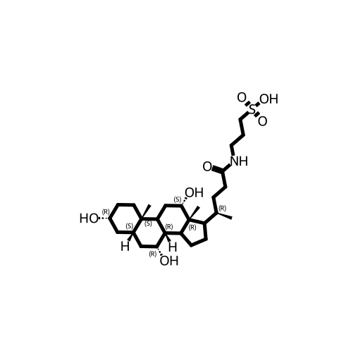 C[C@H](CCC(=O)NCCCS(=O)(=O)O)C1CCC2[C@H]3C(C[C@H](O)[C@@]21C)[C@@]1(C)CC[C@@H](O)C[C@H]1C[C@H]3O